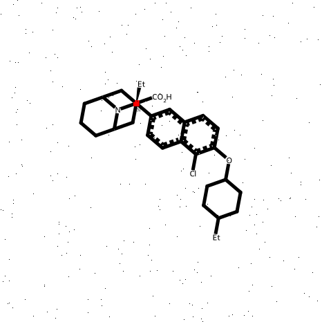 CCC1CCC(Oc2ccc3cc([C@H](CC)N4C5CCCC4CC(C(=O)O)C5)ccc3c2Cl)CC1